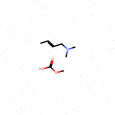 CC=CCN(C)C.COC(=O)O